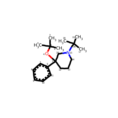 CC(C)(C)OC1(c2ccccc2)CCCN(C(C)(C)C)C1